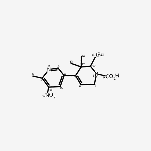 Cc1ncc(C2=CCN(C(=O)O)C(C(C)(C)C)C2(C)C)cc1[N+](=O)[O-]